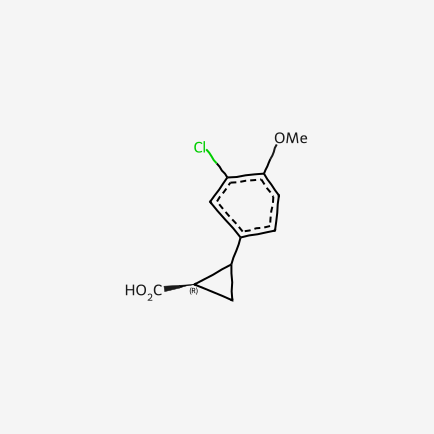 COc1ccc(C2C[C@H]2C(=O)O)cc1Cl